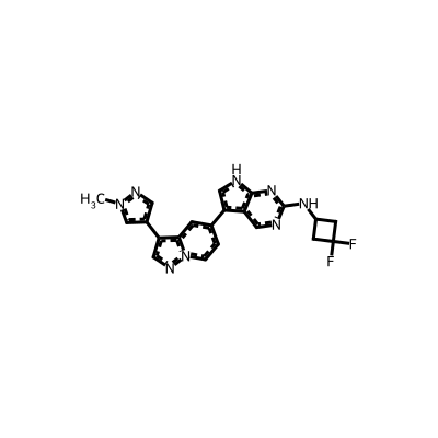 Cn1cc(-c2cnn3ccc(-c4c[nH]c5nc(NC6CC(F)(F)C6)ncc45)cc23)cn1